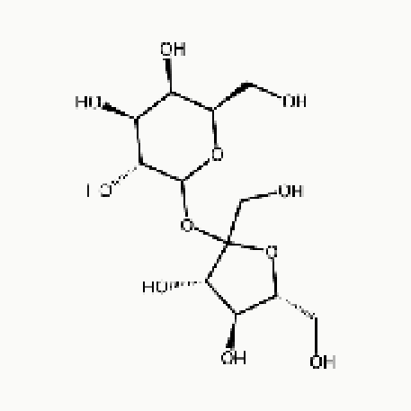 OC[C@H]1OC(OC2(CO)O[C@H](CO)[C@@H](O)[C@@H]2O)[C@H](O)[C@@H](O)[C@H]1O